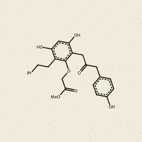 COC(=O)COc1c(CCC(C)C)c(O)cc(O)c1CC(=O)Cc1ccc(O)cc1